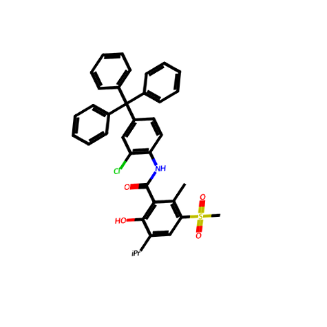 Cc1c(S(C)(=O)=O)cc(C(C)C)c(O)c1C(=O)Nc1ccc(C(c2ccccc2)(c2ccccc2)c2ccccc2)cc1Cl